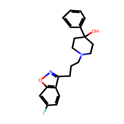 OC1(c2ccccc2)CCN(CCCc2noc3cc(F)ccc23)CC1